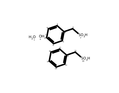 O.O.O=S(=O)(O)Cc1ccccc1.O=S(=O)(O)Cc1ccccc1